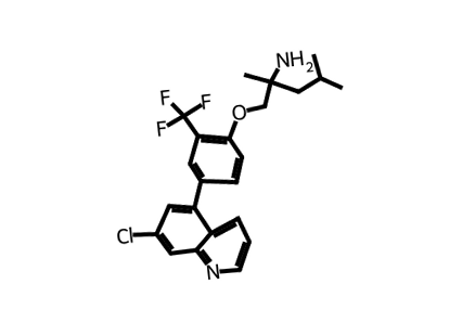 CC(C)CC(C)(N)COc1ccc(-c2cc(Cl)cc3ncccc23)cc1C(F)(F)F